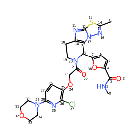 CNC(=O)c1ccc(C2c3c(nc4sc(C)nn34)CCN2C(=O)COc2ccc(N3CCOCC3)nc2Cl)o1